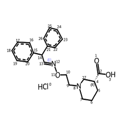 Cl.O=C(O)[C@@H]1CCCN(CCO/N=C/C(c2ccccc2)c2ccccc2)C1